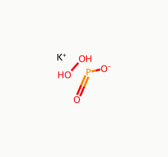 O=P[O-].OO.[K+]